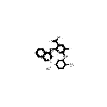 Cl.NC(=O)c1cc(F)c(N[C@@H]2CCCC[C@@H]2N)nc1Nc1cncc2ccccc12